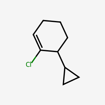 ClC1=CCCCC1C1CC1